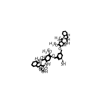 C=C1[C@H]2CC(OC)=C(OCC3CC(COC4=C(OC)C[C@H]5C(=C)N6[C@H]7CCCCC7C[C@H]6C(S(=O)(=O)O)NC5C4)=C[C@@H](CS)C3)C[C@H]2NC[C@@H]2C[C@H]3CCCCC3N12